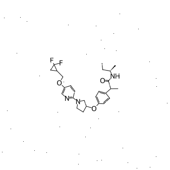 CC[C@@H](C)NC(=O)C(C)c1ccc(OC2CCN(c3ccc(OCC4CC4(F)F)cn3)C2)cc1